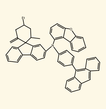 C=C1CC(CC)CC(C)C12c1ccccc1-c1ccc(N(c3ccc(-c4c5ccccc5cc5ccccc45)cc3)c3cccc4oc5ccccc5c34)cc12